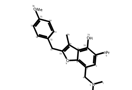 CCCc1cc(CN(C)C)c2oc(Cc3ccc(OC)cc3)c(C)c2c1O